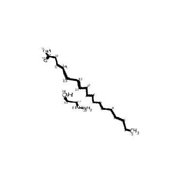 CCCCCCCCCCCCCCCCCC(=O)O.NNCCO